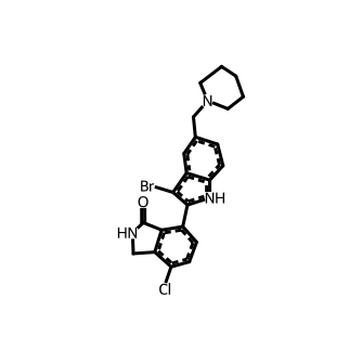 O=C1NCc2c(Cl)ccc(-c3[nH]c4ccc(CN5CCCCC5)cc4c3Br)c21